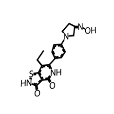 CCc1c(-c2ccc(N3CCC(=NO)C3)cc2)[nH]c(=O)c2c(=O)[nH]sc12